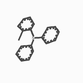 Cc1ccccc1[Si](c1ccccc1)c1ccccc1